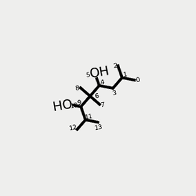 CC(C)CC(O)C(C)(C)C(O)C(C)C